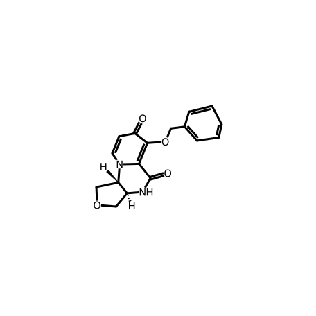 O=C1N[C@H]2COC[C@@H]2n2ccc(=O)c(OCc3ccccc3)c21